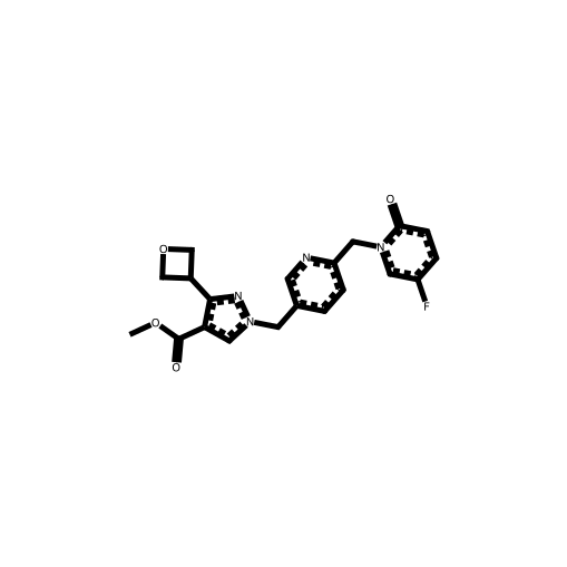 COC(=O)c1cn(Cc2ccc(Cn3cc(F)ccc3=O)nc2)nc1C1COC1